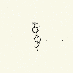 CC(C)=CN1CCN(c2ccc(N)cc2)CC1